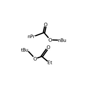 CCC(=O)OC(C)(C)C.CCCCOC(=O)CCC